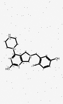 Oc1ccc(F)c(CN2Cc3nc(O)nc(N4CCNCC4)c3C2)c1